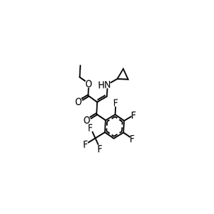 CCOC(=O)C(=CNC1CC1)C(=O)c1c(C(F)(F)F)cc(F)c(F)c1F